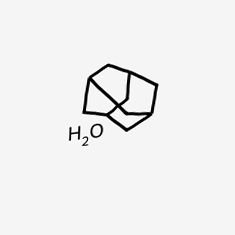 C1C2CC3CC1CC(C2)C3.O